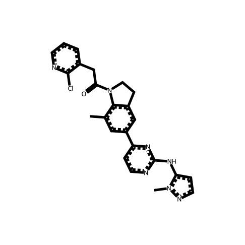 Cc1cc(-c2ccnc(Nc3ccnn3C)n2)cc2c1N(C(=O)Cc1cccnc1Cl)CC2